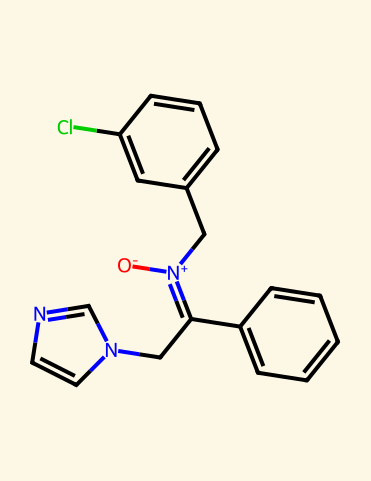 [O-]/[N+](Cc1cccc(Cl)c1)=C(\Cn1ccnc1)c1ccccc1